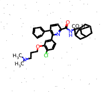 CN(C)CCCOc1cc(-c2nc(C(=O)NC3(C(=O)O)C4CC5CC(C4)CC3C5)ccc2-c2ccccc2)ccc1Cl